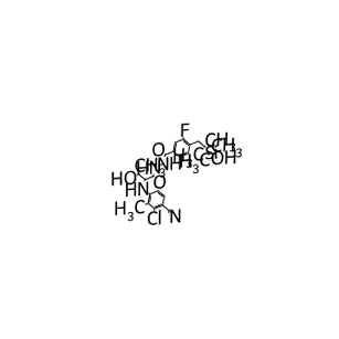 Cc1c(N[C@@H](C(=O)NNC(=O)c2ccc(CC(C)(C)[Si](C)(C)O)c(F)c2)[C@H](C)O)ccc(C#N)c1Cl